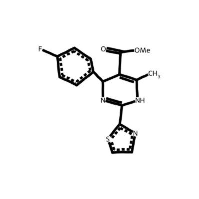 COC(=O)C1=C(C)NC(c2nccs2)=NC1c1ccc(F)cc1